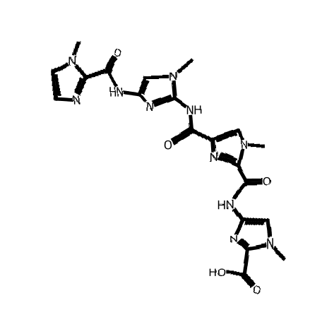 Cn1cc(NC(=O)c2nccn2C)nc1NC(=O)c1cn(C)c(C(=O)Nc2cn(C)c(C(=O)O)n2)n1